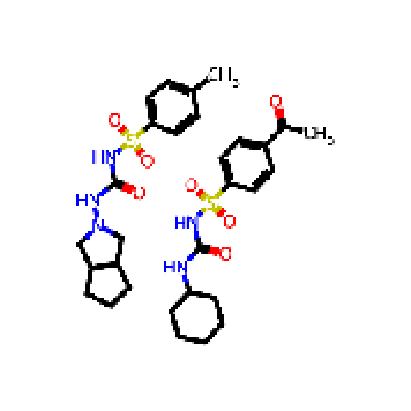 CC(=O)c1ccc(S(=O)(=O)NC(=O)NC2CCCCC2)cc1.Cc1ccc(S(=O)(=O)NC(=O)NN2CC3CCCC3C2)cc1